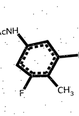 CC(=O)Nc1cc(F)c(C)c(F)c1